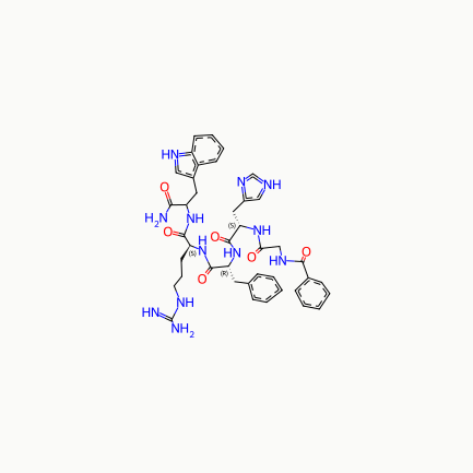 N=C(N)NCCC[C@H](NC(=O)[C@@H](Cc1ccccc1)NC(=O)[C@H](Cc1c[nH]cn1)NC(=O)CNC(=O)c1ccccc1)C(=O)NC(Cc1c[nH]c2ccccc12)C(N)=O